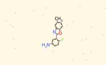 Cc1ccc2oc(-c3cc(N)ccc3F)nc2c1